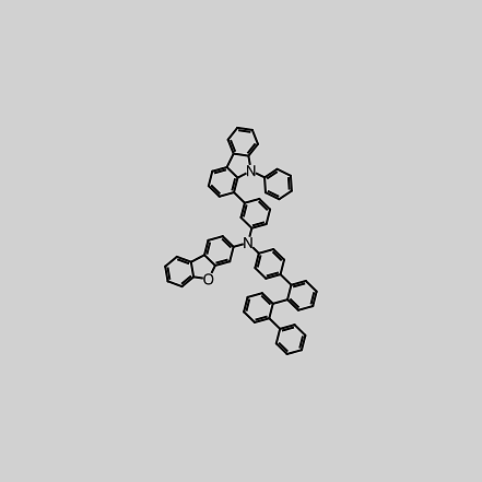 c1ccc(-c2ccccc2-c2ccccc2-c2ccc(N(c3cccc(-c4cccc5c6ccccc6n(-c6ccccc6)c45)c3)c3ccc4c(c3)oc3ccccc34)cc2)cc1